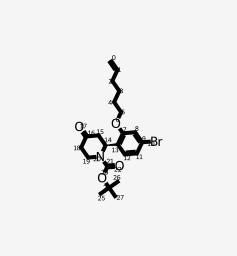 C=CCCCCOc1cc(Br)ccc1[C@@H]1CC(=O)CCN1C(=O)OC(C)(C)C